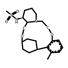 Cc1cccc2c1C1CCC(CC1)OCC1[C@@H](NS(C)(=O)=O)CCCN1CCO2